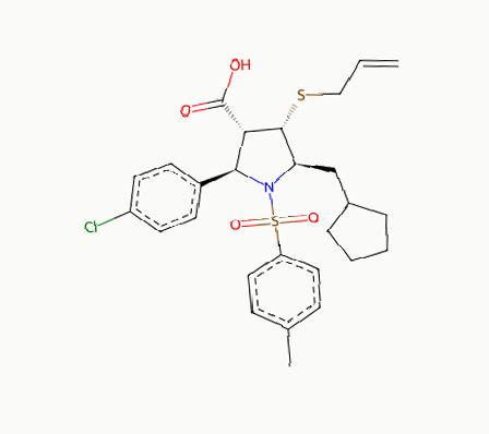 C=CCS[C@H]1[C@@H](C(=O)O)[C@H](c2ccc(Cl)cc2)N(S(=O)(=O)c2ccc(C)cc2)[C@@H]1CC1CCCC1